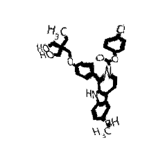 CBc1ccc2[nH]c3c(c2c1)CCN(C(=O)Oc1ccc(Cl)cc1)C3c1ccc(OCC(CC)(CO)CO)cc1